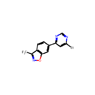 CCc1cc(-c2ccc3c(C(F)(F)F)noc3c2)ncn1